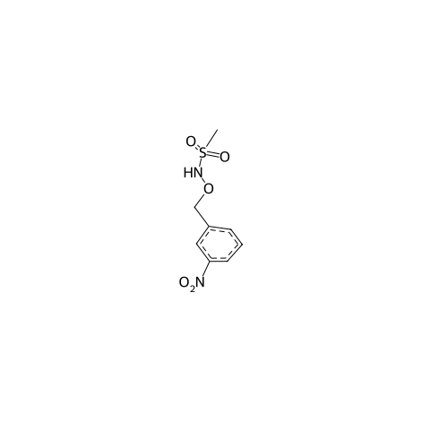 CS(=O)(=O)NOCc1cccc([N+](=O)[O-])c1